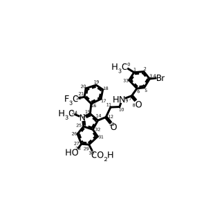 Cc1cc(Br)cc(C(=O)NCCC(=O)c2c(-c3ccccc3C(F)(F)F)n(C)c3cc(O)c(C(=O)O)cc23)c1